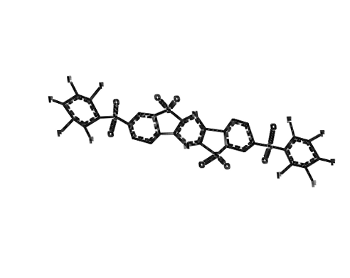 O=S1(=O)c2cc(S(=O)(=O)c3c(F)c(F)c(F)c(F)c3F)ccc2-c2nc3c(nc21)-c1ccc(S(=O)(=O)c2c(F)c(F)c(F)c(F)c2F)cc1S3(=O)=O